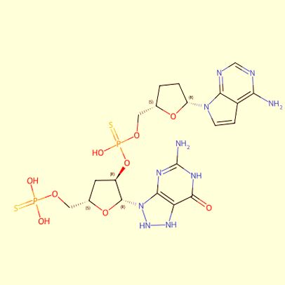 Nc1nc2c(c(=O)[nH]1)NNN2[C@@H]1O[C@H](COP(O)(O)=S)C[C@H]1OP(O)(=S)OC[C@@H]1CC[C@H](n2ccc3c(N)ncnc32)O1